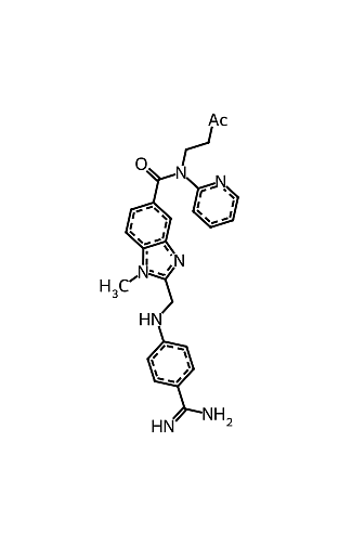 CC(=O)CCN(C(=O)c1ccc2c(c1)nc(CNc1ccc(C(=N)N)cc1)n2C)c1ccccn1